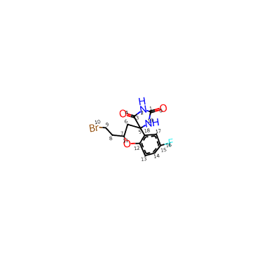 O=C1NC(=O)C2(CC(CCBr)Oc3ccc(F)cc32)N1